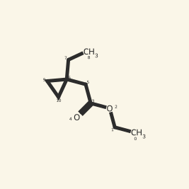 CCOC(=O)CC1(CC)CC1